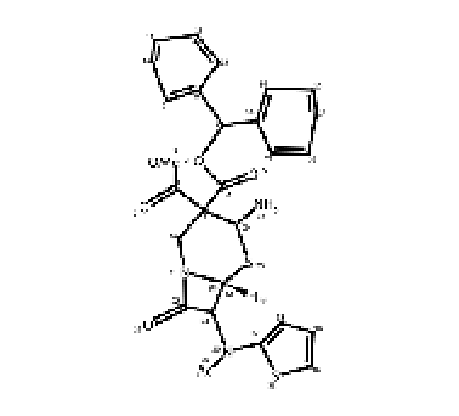 COC(=O)C1(C(=O)OC(c2ccccc2)c2ccccc2)CN2C(=O)C(N(C(C)=O)c3cccs3)[C@H]2SC1N